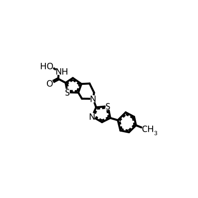 Cc1ccc(-c2cnc(N3CCc4cc(C(=O)NO)sc4C3)s2)cc1